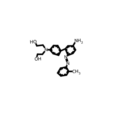 Cc1ccccc1N=Nc1ccc(N)cc1-c1ccc(N(CCO)CCO)cc1